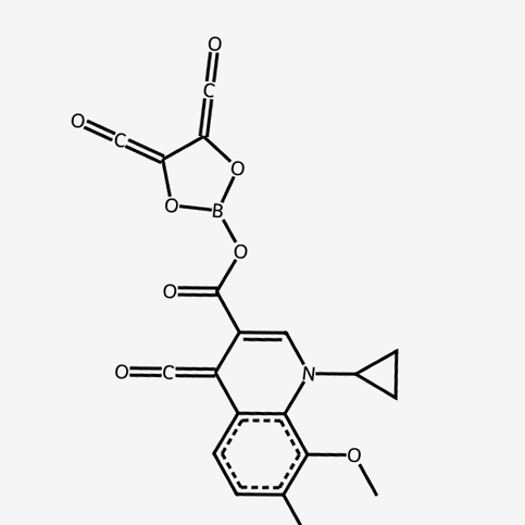 COc1c(F)ccc2c1N(C1CC1)C=C(C(=O)OB1OC(=C=O)C(=C=O)O1)C2=C=O